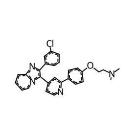 CN(C)CCOc1ccc(-c2cc(-c3c(-c4cccc(Cl)c4)nc4ccccn34)ccn2)cc1